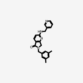 Cc1cc(C)cc(CN2Cc3nc(NCc4cccnc4)ccc3C2=O)c1